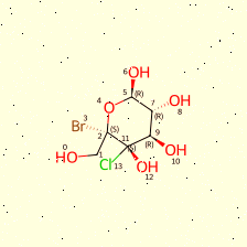 OC[C@@]1(Br)O[C@@H](O)[C@H](O)[C@@H](O)[C@]1(O)Cl